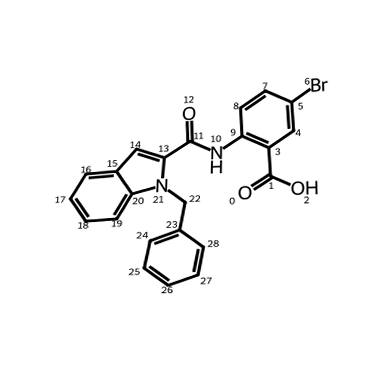 O=C(O)c1cc(Br)ccc1NC(=O)c1cc2ccccc2n1Cc1ccccc1